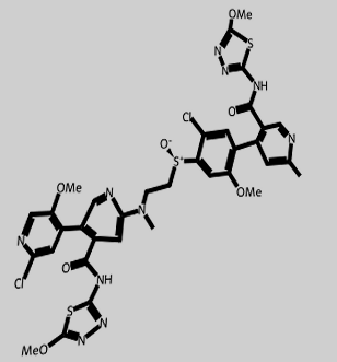 COc1nnc(NC(=O)c2cc(N(C)CC[S@@+]([O-])c3cc(OC)c(-c4cc(C)ncc4C(=O)Nc4nnc(OC)s4)cc3Cl)ncc2-c2cc(Cl)ncc2OC)s1